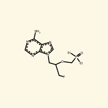 CCP(=O)(CC)COC(CF)Cn1cnc2c(N)ncnc21